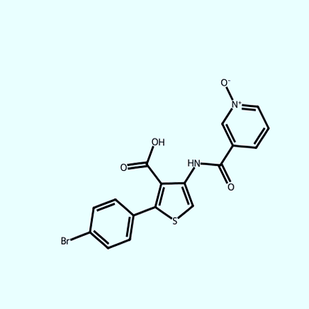 O=C(Nc1csc(-c2ccc(Br)cc2)c1C(=O)O)c1ccc[n+]([O-])c1